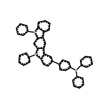 c1ccc(N(c2ccccc2)c2ccc(-c3ccc4c(c3)c3cc5c6ccccc6n(-c6ccccc6)c5cc3n4-c3ccccc3)cc2)cc1